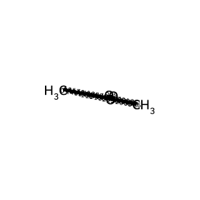 CCCCCCCCCCCCCCCCCCCCCC(=O)OC(=O)CCCCCCCCCCC